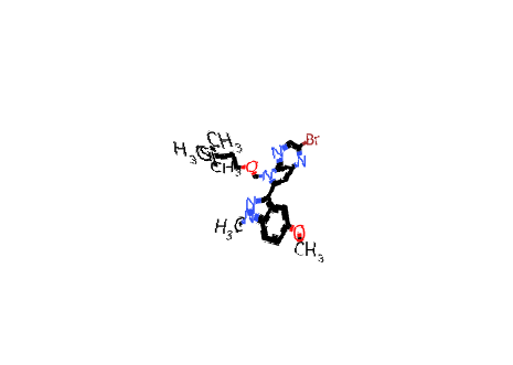 COc1ccc2c(c1)c(-c1cc3nc(Br)cnc3n1COCC[Si](C)(C)C)nn2C